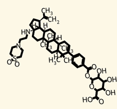 C=C(C)[C@@H]1CC[C@]2(NCCN3CCS(=O)(=O)CC3)CC[C@]3(C)[C@H](CC[C@@H]4[C@@]5(C)CC=C(c6ccc(C(=O)OC7OC(C(=O)O)C(O)C(O)C7O)cc6)C(C)(C)[C@@H]5CC[C@]43C)[C@@H]12